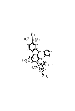 C=CCC/[C](C)=[Hf](/[C]1=CC=CC1)[c]1c(C(C)(C)C)ccc2c1Cc1cc(C(C)(C)C)ccc1-2.Cl.Cl